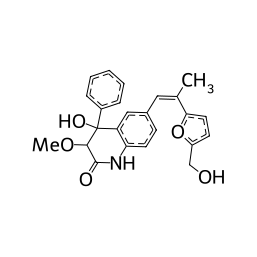 COC1C(=O)Nc2ccc(C=C(C)c3ccc(CO)o3)cc2C1(O)c1ccccc1